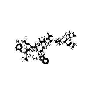 CC(=O)N[C@H](Cc1ccccc1)C(=O)N[C@@H](CCC(N)=O)C(=O)N[C@@H](Cc1c[nH]c2ccccc12)C(=O)N[C@@H](C)C(=O)N[C@H](C(=O)NCC(=O)N[C@@H](Cc1c[nH]cn1)C(=O)N[C@@H](CC(C)C)C(N)=O)C(C)C